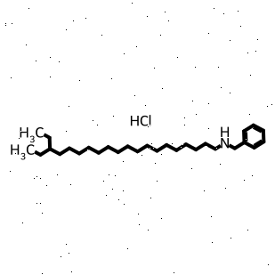 CCC(CC)CCCCCCCCCCCCCCCCCNCc1ccccc1.Cl